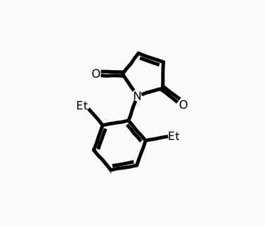 CCc1c[c]cc(CC)c1N1C(=O)C=CC1=O